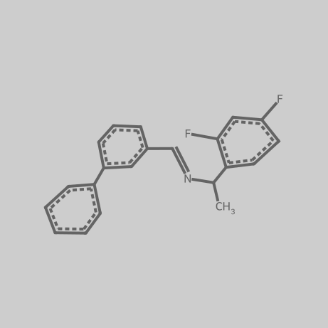 CC(N=Cc1cccc(-c2ccccc2)c1)c1ccc(F)cc1F